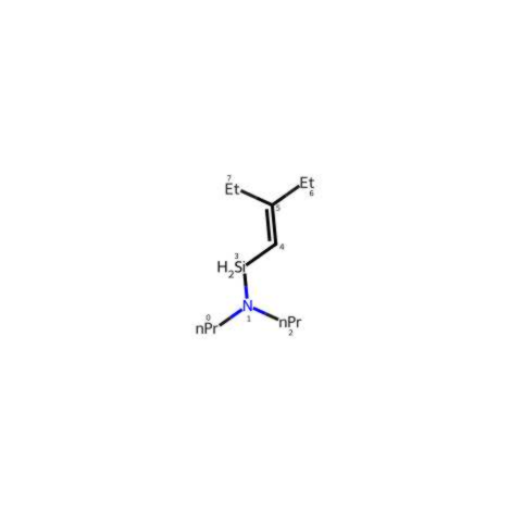 CCCN(CCC)[SiH2]C=C(CC)CC